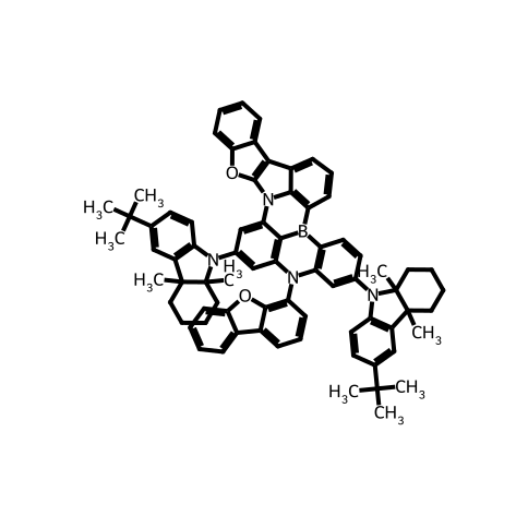 CC(C)(C)c1ccc2c(c1)C1(C)CCCCC1(C)N2c1ccc2c(c1)N(c1cccc3c1oc1ccccc13)c1cc(N3c4ccc(C(C)(C)C)cc4C4(C)CCCCC34C)cc3c1B2c1cccc2c4c5ccccc5oc4n-3c12